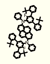 CC(C)(C)c1ccccc1-c1cc(-c2ccccc2C(C)(C)C)c(F)c(N(c2ccccc2)c2ccc3ccc4c(N(c5ccccc5)c5cc(-c6ccccc6C(C)(C)C)cc(-c6ccccc6C(C)(C)C)c5F)ccc5ccc2c3c54)c1